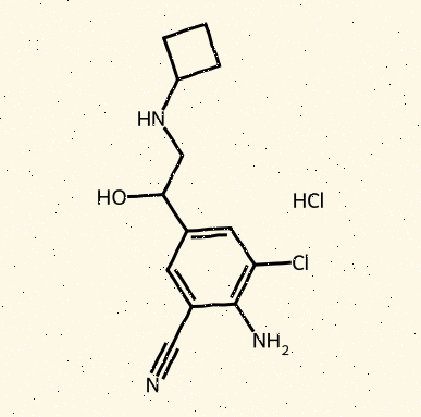 Cl.N#Cc1cc(C(O)CNC2CCC2)cc(Cl)c1N